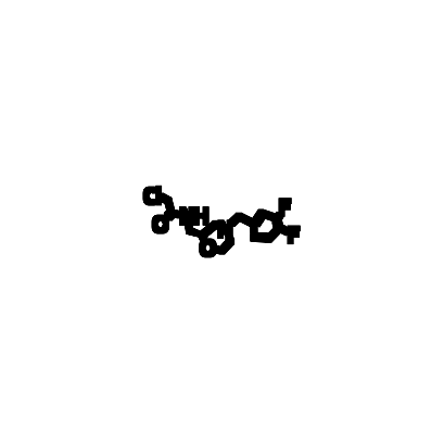 O=C(CCl)NC[C@H]1CN(Cc2ccc(F)c(F)c2)CCO1